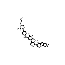 COCCN1CCN(c2ccc(Nc3cc(-c4ccnc(-n5ccn6c7c(cc6c5=O)CC(C)(C)C7)c4CO)cn(C)c3=O)nc2)[C@@](C)(O)C1